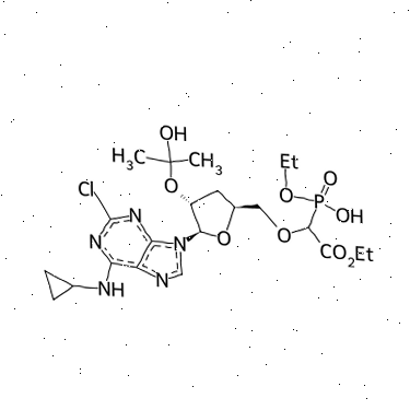 CCOC(=O)C(OC[C@@H]1C[C@@H](OC(C)(C)O)[C@H](n2cnc3c(NC4CC4)nc(Cl)nc32)O1)P(=O)(O)OCC